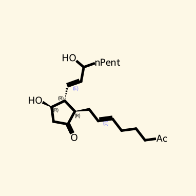 CCCCCC(O)/C=C/[C@H]1[C@H](O)CC(=O)[C@@H]1C/C=C/CCCC(C)=O